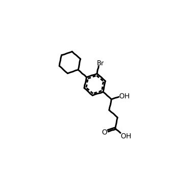 O=C(O)CCC(O)c1ccc(C2CCCCC2)c(Br)c1